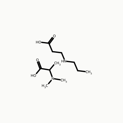 CC(C(=O)O)N(C)C.CCCNCCC(=O)O